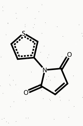 O=C1C=CC(=O)N1c1ccsc1